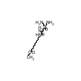 C=CCOC(=O)CCCCCCCCCCNC(=O)[C@@H](N)CCC(=O)N(CCN)CCN